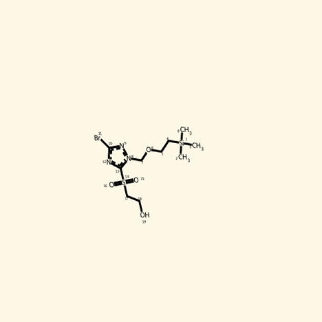 C[Si](C)(C)CCOCn1nc(Br)nc1S(=O)(=O)CCO